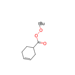 CC(C)(C)OOC(=O)C1CC=CCC1